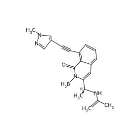 Bn1c([C@H](C)NC(=C)C)cc2cccc(C#Cc3cnn(C)c3)c2c1=O